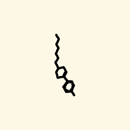 CCCCCCCC1CC=C(c2ccc(C)cc2)CC1